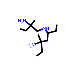 CCC(CC(C)(N)CC)NCC(C)(N)CC